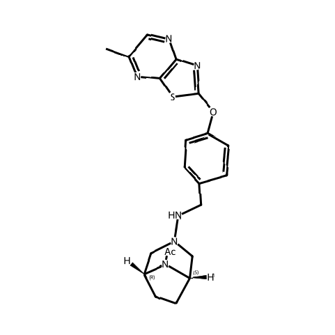 CC(=O)N1[C@@H]2CC[C@H]1CN(NCc1ccc(Oc3nc4ncc(C)nc4s3)cc1)C2